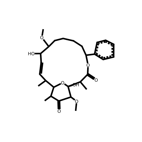 COC1CCCCC(c2ccccc2)OC(=O)C(C)C2(O)OC(C(C)/C=C/C1O)C(C)C(=O)C2OC